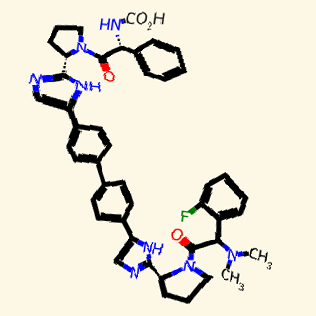 CN(C)C(C(=O)N1CCC[C@H]1c1ncc(-c2ccc(-c3ccc(-c4cnc([C@@H]5CCCN5C(=O)[C@H](NC(=O)O)c5ccccc5)[nH]4)cc3)cc2)[nH]1)c1ccccc1F